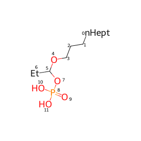 CCCCCCCCCCOC(CC)OP(=O)(O)O